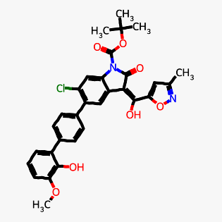 COc1cccc(-c2ccc(-c3cc4c(cc3Cl)N(C(=O)OC(C)(C)C)C(=O)C4=C(O)c3cc(C)no3)cc2)c1O